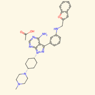 CC(=O)O.CN1CCN([C@H]2CC[C@@H](n3nc(-c4cccc(NCc5cc6ccccc6o5)c4)c4c(N)ncnc43)CC2)CC1